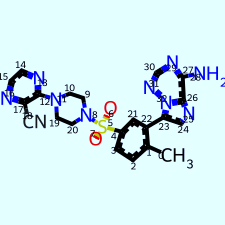 Cc1ccc(S(=O)(=O)N2CCN(c3nccnc3C#N)CC2)cc1-c1cnc2c(N)ncnn12